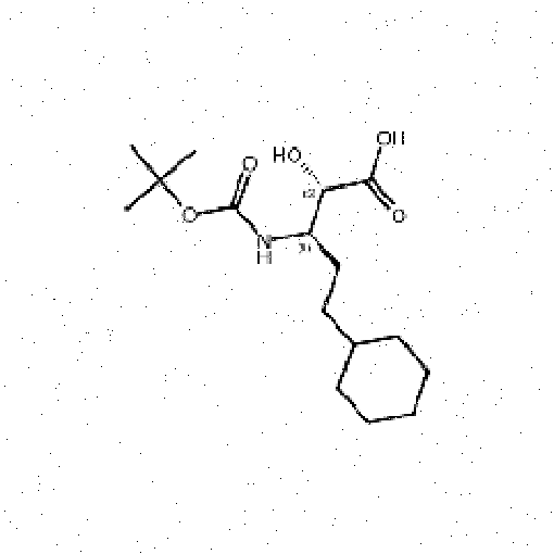 CC(C)(C)OC(=O)N[C@H](CCC1CCCCC1)[C@H](O)C(=O)O